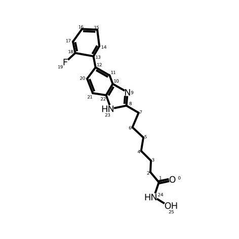 O=C(CCCCCCc1nc2cc(-c3ccccc3F)ccc2[nH]1)NO